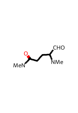 CNC(=O)CCC(C=O)NC